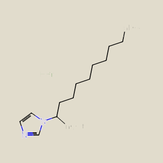 Br.CCCCCCCCCCCCCCCCCCC(CCCCCCCC)n1ccnc1